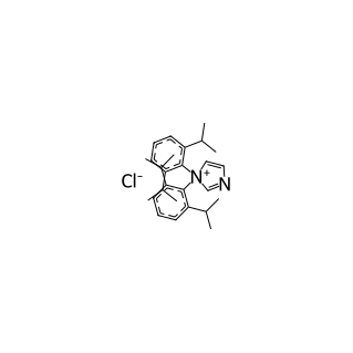 CC(C)c1cccc(C(C)C)c1[N+]1(c2c(C(C)C)cccc2C(C)C)C=CN=C1.[Cl-]